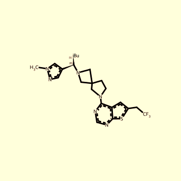 CC[C@H](C)[C@H](c1cnn(C)c1)N1CC2(CCN(c3ncnc4sc(CC(F)(F)F)cc34)C2)C1